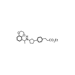 CCOC(=O)CCc1ccc(C2CCC(NC(C)c3cccc4c3OCCO4)C2)cc1